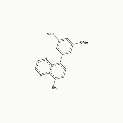 Bc1ccc(-c2cc(OC)cc(OC)c2)c2nccnc12